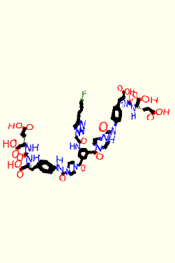 O=C(O)CC[C@H](NC(=O)NC(Cc1ccc(NC(=O)N2CCN(C(=O)c3cc(NC(=O)Cn4cc(CCCF)nn4)cc(C(=O)N4CCN(C(=O)Nc5ccc(C[C@H](NC(=O)N[C@@H](CCC(=O)O)C(=O)O)C(=O)O)cc5)CC4)c3)CC2)cc1)C(=O)O)C(=O)O